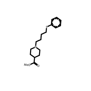 COC(=O)C1CCN(CCCCSc2ccccc2)CC1